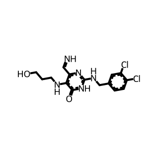 N=Cc1nc(NCc2ccc(Cl)c(Cl)c2)[nH]c(=O)c1NCCCO